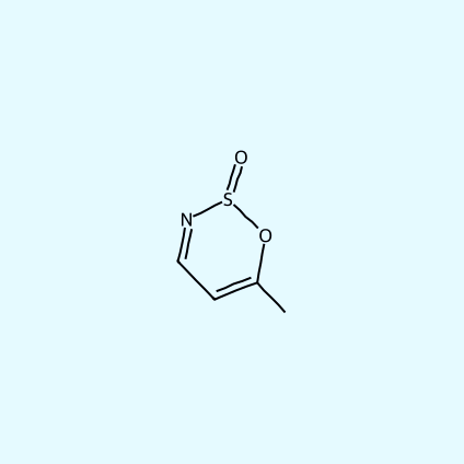 CC1=CC=NS(=O)O1